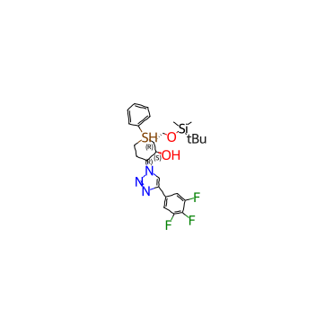 CC(C)(C)[Si](C)(C)OC[C@@H]1[C@@H](O)[C@H](n2cc(-c3cc(F)c(F)c(F)c3)nn2)CC[SH]1c1ccccc1